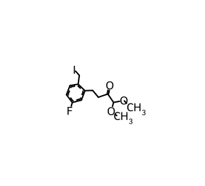 COC(OC)C(=O)CCc1cc(F)ccc1CI